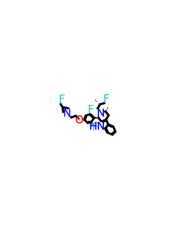 C[C@H](CF)CN1[C@H](c2c(F)cc(OCCN3CC(CF)C3)cc2F)c2[nH]c3ccccc3c2C[C@H]1C